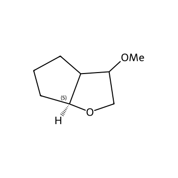 COC1CO[C@H]2CCCC12